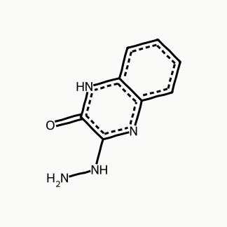 NNc1nc2ccccc2[nH]c1=O